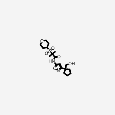 CC(C)(C(=O)Nc1cc(C2(CO)CCCC2)no1)S(=O)(=O)C1CCOCC1